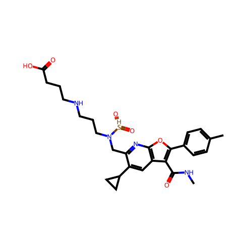 CNC(=O)c1c(-c2ccc(C)cc2)oc2nc(CN(CCCNCCCC(=O)O)[SH](=O)=O)c(C3CC3)cc12